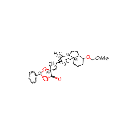 COCOC1CCC[C@@]2(C)C1CC[C@@H]2[C@H](C)CCC[C@@]1(C)O[C@H](c2ccccc2)OC1=O